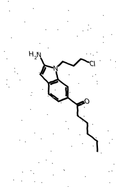 CCCCCC(=O)c1ccc2cc(N)n(CCCCl)c2c1